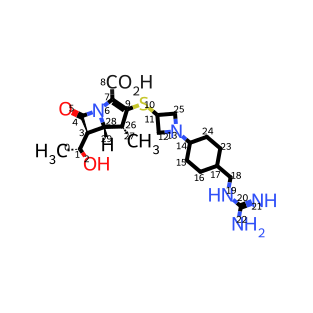 C[C@@H](O)[C@H]1C(=O)N2C(C(=O)O)=C(SC3CN(C4CCC(CNC(=N)N)CC4)C3)[C@H](C)[C@H]12